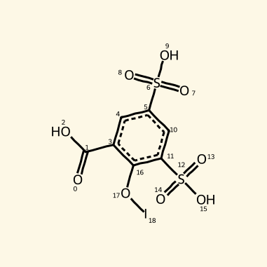 O=C(O)c1cc(S(=O)(=O)O)cc(S(=O)(=O)O)c1OI